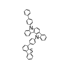 c1ccc(-c2ccc(-n3c4ccccc4c4c3ccc3c5ccccc5n(-c5ccc(-c6cccc7c6sc6ccccc67)cc5)c34)cc2)cc1